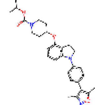 Cc1noc(C)c1-c1ccc(N2CCc3c(OC4CCN(C(=O)OC(C)C)CC4)cccc32)cc1